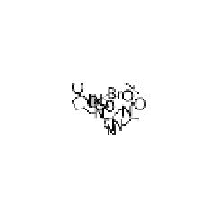 C[C@H]1Cn2ncc(N(CC3CCC(=O)N3)S(=O)(=O)CBr)c2CN1C(=O)OC(C)(C)C